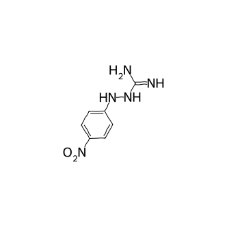 N=C(N)NNc1ccc([N+](=O)[O-])cc1